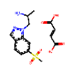 CC(N)Cn1ncc2ccc(S(C)(=O)=O)cc21.O=C(O)/C=C/C(=O)O